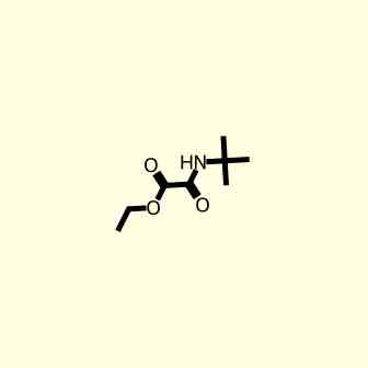 CCOC(=O)C(=O)NC(C)(C)C